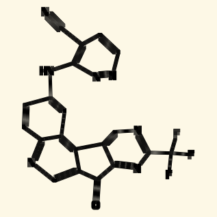 N#Cc1ccnnc1Nc1ccc2ncc3c(c2c1)-c1cnc(C(F)(F)F)nc1C3=O